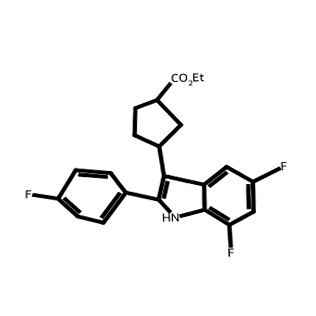 CCOC(=O)C1CCC(c2c(-c3ccc(F)cc3)[nH]c3c(F)cc(F)cc23)C1